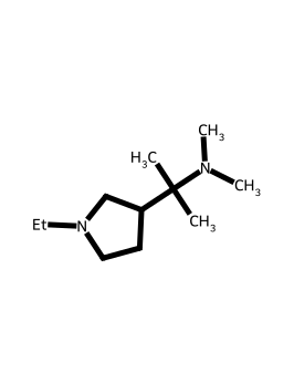 CCN1CCC(C(C)(C)N(C)C)C1